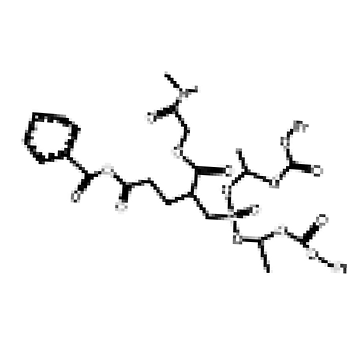 CC(C)OC(=O)OC(C)OP(=O)(CC(CCC(=O)OC(=O)c1ccccc1)C(=O)OCC(=O)N(C)C)OC(C)OC(=O)OC(C)C